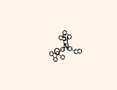 c1ccc(-c2c(-c3ccc(N(c4ccc(-c5ccc6ccccc6c5)cc4)c4ccc([Si](c5ccccc5)(c5ccccc5)c5ccccc5)cc4)cc3)oc3c4ccccc4c4ccccc4c23)cc1